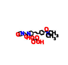 CN(C)C(=O)c1ccc(C=CC2CCN(C(=O)CN3CCOCC3)CC2)cc1.O=C(O)C(=O)O